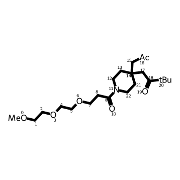 COCCOCCOCCC(=O)N1CCC(CC(C)=O)(CC(=O)C(C)(C)C)CC1